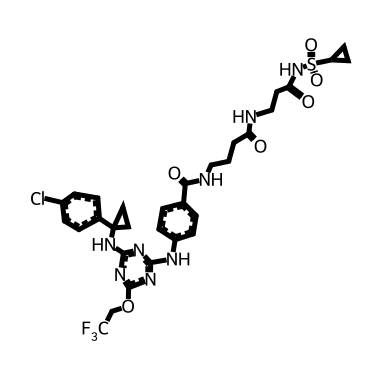 O=C(CCCNC(=O)c1ccc(Nc2nc(NC3(c4ccc(Cl)cc4)CC3)nc(OCC(F)(F)F)n2)cc1)NCCC(=O)NS(=O)(=O)C1CC1